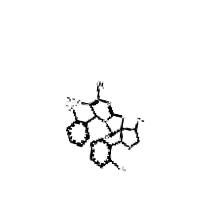 CCOC(=O)C1=C(C)N=C2SC3(C(=O)N2C1c1ccccc1C)C(O)CSC3c1ccccc1C